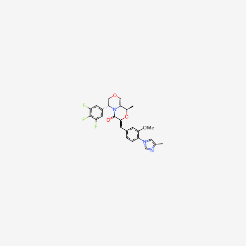 COc1cc(C=C2O[C@H](C)C3=COC[C@@H](c4cc(F)c(F)c(F)c4)N3C2=O)ccc1-n1cnc(C)c1